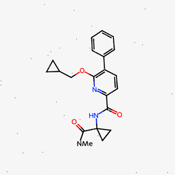 CNC(=O)C1(NC(=O)c2ccc(-c3ccccc3)c(OCC3CC3)n2)CC1